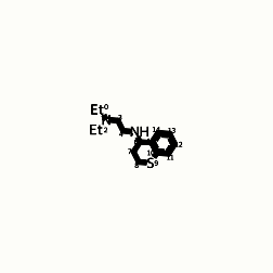 CCN(CC)CCNC1CCSc2ccccc21